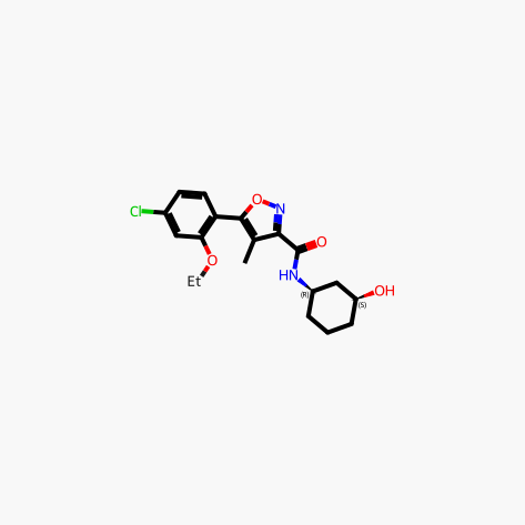 CCOc1cc(Cl)ccc1-c1onc(C(=O)N[C@@H]2CCC[C@H](O)C2)c1C